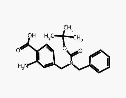 CC(C)(C)OC(=O)N(Cc1ccccc1)Cc1ccc(C(=O)O)c(N)c1